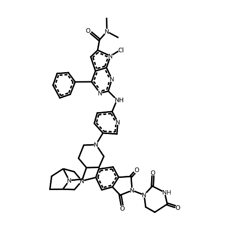 CN(C)C(=O)c1cc2c(-c3ccccc3)nc(Nc3ccc(N4CCC(CN5C6CCC5CN(c5ccc7c(c5)C(=O)N(N5CCC(=O)NC5=O)C7=O)C6)CC4)cn3)nc2n1Cl